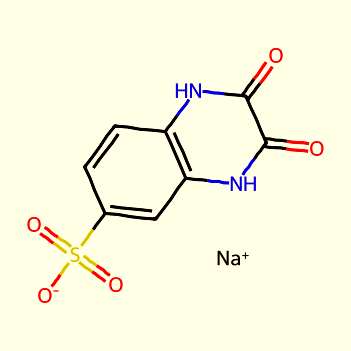 O=c1[nH]c2ccc(S(=O)(=O)[O-])cc2[nH]c1=O.[Na+]